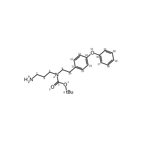 CC(C)(C)OC(=O)N(CCCN)CCc1ccc(Oc2ccccc2)cc1